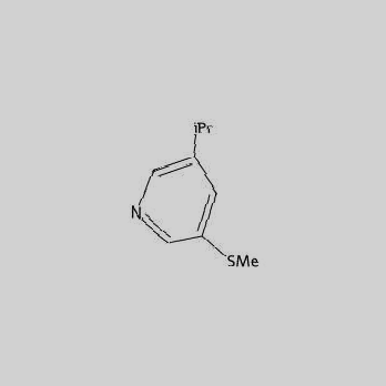 CSc1cncc(C(C)C)c1